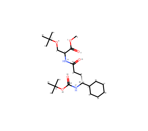 COC(=O)C(COC(C)(C)C)NC(=O)CC[C@@H](NC(=O)OC(C)(C)C)C1CCCCC1